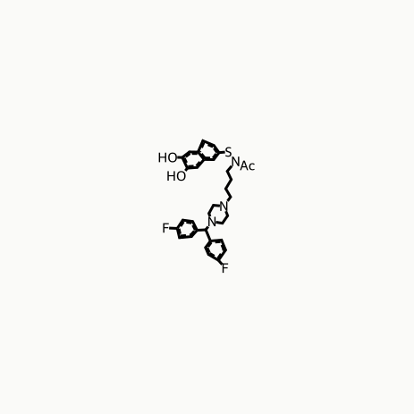 CC(=O)N(CCCCN1CCN(C(c2ccc(F)cc2)c2ccc(F)cc2)CC1)Sc1ccc2cc(O)c(O)cc2c1